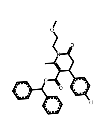 COCCN1C(=O)CC(c2ccc(Cl)cc2)C(C(=O)OC(c2ccccc2)c2ccccc2)=C1C